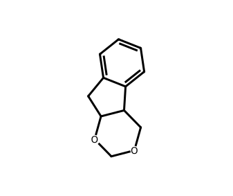 c1ccc2c(c1)CC1OCOCC21